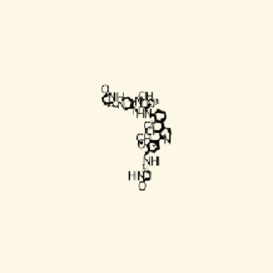 COc1cc(-c2nccc(-c3cccc(NC(=O)c4nc5c(n4C)CCN(C[C@H]4CCC(=O)N4)C5)c3Cl)c2Cl)ccc1CNC[C@@H]1CCC(=O)N1